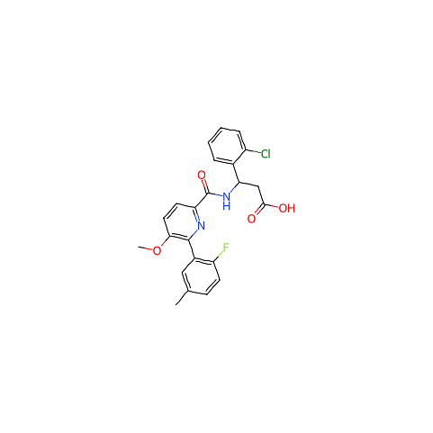 COc1ccc(C(=O)NC(CC(=O)O)c2ccccc2Cl)nc1-c1cc(C)ccc1F